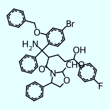 NC(c1ccccc1)(c1ccc(Br)cc1OCc1ccccc1)C(CCC(O)c1ccc(F)cc1)C(=O)N1C(C=O)OCC1c1ccccc1